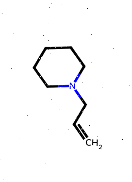 C=CCN1CCCCC1